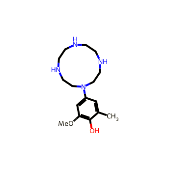 COc1cc(N2CCNCCNCCNCC2)cc(C)c1O